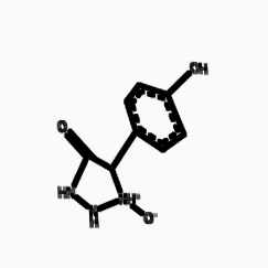 O=C1NN[NH+]([O-])C1c1ccc(O)cc1